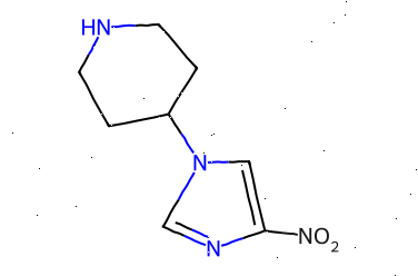 O=[N+]([O-])c1cn(C2CCNCC2)cn1